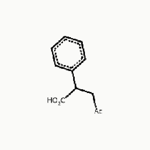 CC(=O)CC(C(=O)O)c1ccccc1